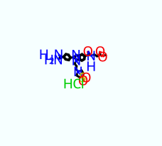 COC(=O)CCNC(=O)c1ccc2c(c1)nc(-c1ccc(C(=N)N)cc1)n2CCCN1CCS(=O)(=O)CC1.Cl